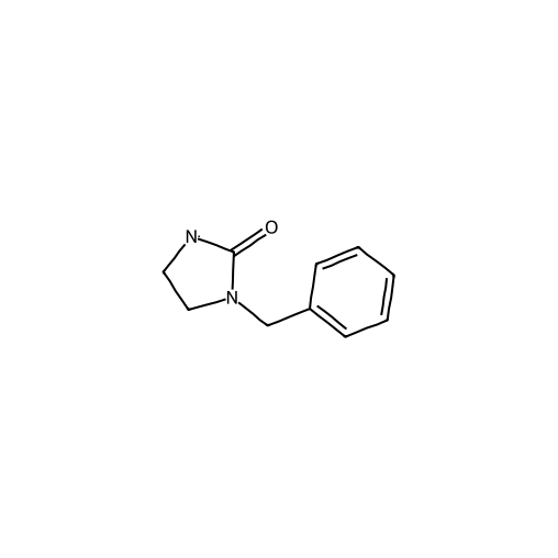 O=C1[N]CCN1Cc1ccccc1